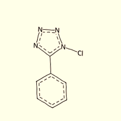 Cln1nnnc1-c1ccccc1